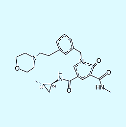 CNC(=O)c1cc(C(=O)N[C@H]2C[C@@H]2C)cn(Cc2cccc(CCN3CCOCC3)c2)c1=O